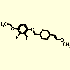 CCOc1ccc(OCC2CCC(C=COC)CC2)c(F)c1F